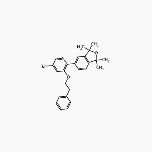 CC1(C)OC(C)(C)c2cc(-c3ncc(Br)cc3OCCc3ccccc3)ccc21